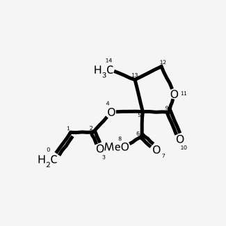 C=CC(=O)OC1(C(=O)OC)C(=O)OCC1C